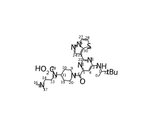 CC(Nc1cc(C(=O)N2CCC(N(CCN(C)C)C(=O)O)CC2)nc(-c2cnn3ccsc23)n1)C(C)(C)C